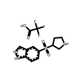 O=C(O)C(F)(F)F.O=S(=O)(c1ccc2[nH]ncc2c1)C1CCNC1